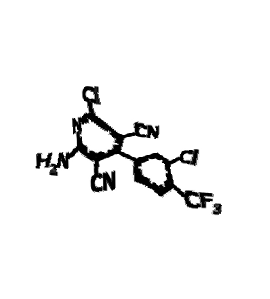 N#Cc1c(N)nc(Cl)c(C#N)c1-c1ccc(C(F)(F)F)c(Cl)c1